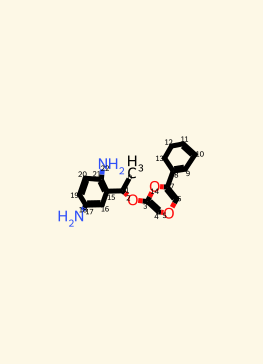 CC(OC1=COC=C(C2=CC=CCC2)O1)c1cc(N)ccc1N